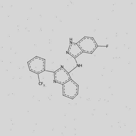 Fc1ccc2[nH]nc(Nc3nc(-c4ccccc4C(F)(F)F)nc4ccccc34)c2c1